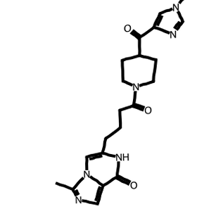 Cc1ncc2c(=O)[nH]c(CCCC(=O)N3CCC(C(=O)c4cn(C)cn4)CC3)cn12